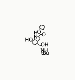 CC(C)(C)NCC(O)c1ccc(O)c2[nH]c(C(=O)Oc3ccccc3)cc12